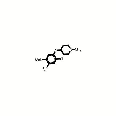 CNc1cc(SC2CCN(C)CC2)c(Cl)cc1N